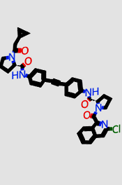 O=C(Nc1ccc(C#Cc2ccc(NC(=O)[C@@H]3CCCN3C(=O)c3nc(Cl)cc4ccccc34)cc2)cc1)[C@@H]1CCCN1C(=O)CC1CC1